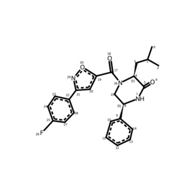 CC(C)C[C@H]1C(=O)N[C@@H](c2ccccc2)CN1C(=O)c1cc(-c2ccc(F)cc2)no1